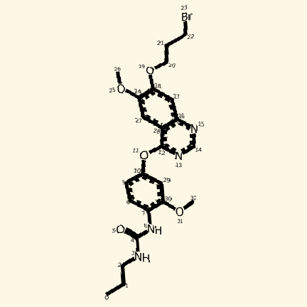 CCCNC(=O)Nc1ccc(Oc2ncnc3cc(OCCCBr)c(OC)cc23)cc1OC